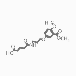 COC(=O)c1cc(OCCCNC(=O)CCCC(=O)O)ccc1OC